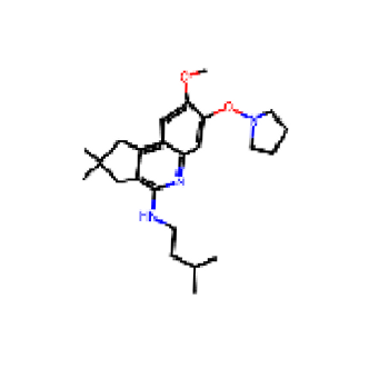 COc1cc2c3c(c(NCCC(C)C)nc2cc1ON1CCCC1)CC(C)(C)C3